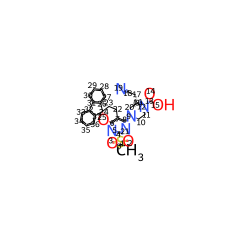 CS(=O)(=O)c1nc2c(c(N3CCN(C(=O)O)[C@@H](CC#N)C3)n1)CCC1(O2)c2ccccc2-c2ccccc21